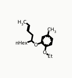 C/C=C/CC(CCCCCC)Oc1cc(C)ccc1OCC